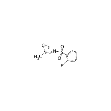 CN(C)C=NS(=O)(=O)c1ccccc1F